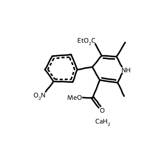 CCOC(=O)C1=C(C)NC(C)=C(C(=O)OC)C1c1cccc([N+](=O)[O-])c1.[CaH2]